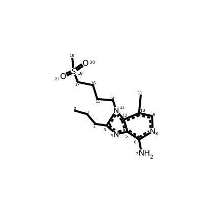 CCCc1nc2c(N)ncc(C)c2n1CCCCS(C)(=O)=O